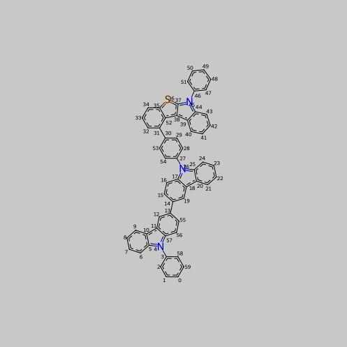 c1ccc(-n2c3ccccc3c3cc(-c4ccc5c(c4)c4ccccc4n5-c4ccc(-c5cccc6sc7c(c8ccccc8n7-c7ccccc7)c56)cc4)ccc32)cc1